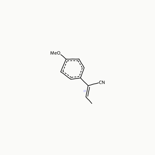 C/C=C(\C#N)c1ccc(OC)cc1